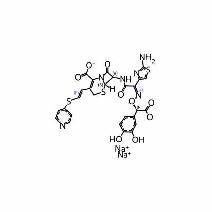 Nc1nc(/C(=N/O[C@@H](C(=O)[O-])c2ccc(O)c(O)c2)C(=O)N[C@@H]2C(=O)N3C(C(=O)[O-])=C(/C=C/Sc4ccncc4)CS[C@@H]23)cs1.[Na+].[Na+]